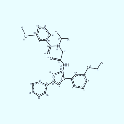 CCOc1cccc(-n2cc(-c3ccccc3)nc2NC(=O)CN(C(=O)c2cccc(OC)c2)C(C)C)c1